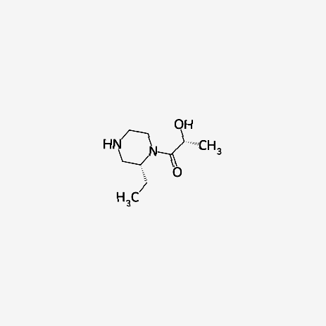 CC[C@@H]1CNCCN1C(=O)[C@@H](C)O